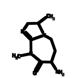 CC1CN=C2N(C)C(=O)C(N)CCN21